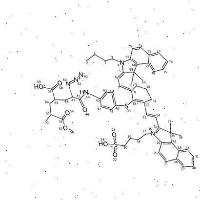 CCCCN1/C(=C/C=C2\CCCC(/C=C/C3=[N+](CCCCS(=O)(=O)O)c4ccc5ccccc5c4C3(C)C)=C2Sc2ccc(NC(=O)C(CC(CC(C)C(=O)OC)C(=O)O)N=[N+]=[N-])cc2)C(C)(C)c2c1ccc1ccccc21